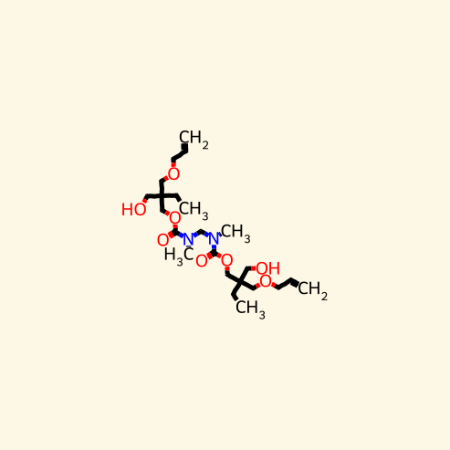 C=CCOCC(CC)(CO)COC(=O)N(C)CN(C)C(=O)OCC(CC)(CO)COCC=C